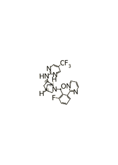 O=C(c1c(F)cccc1-c1ncccn1)N1C[C@@H]2C[C@@H](Nc3ncc(C(F)(F)F)cn3)[C@@H]1C2